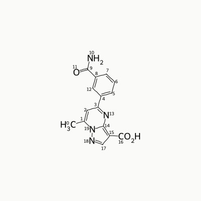 Cc1cc(-c2cccc(C(N)=O)c2)nc2c(C(=O)O)cnn12